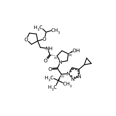 CC(C)OC1(CNC(=O)[C@@H]2C[C@@H](O)CN2C(=O)[C@@H](n2cc(C3CC3)nn2)C(C)(C)C)CCOC1